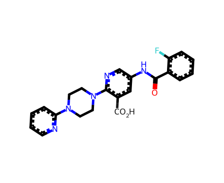 O=C(Nc1cnc(N2CCN(c3ccccn3)CC2)c(C(=O)O)c1)c1ccccc1F